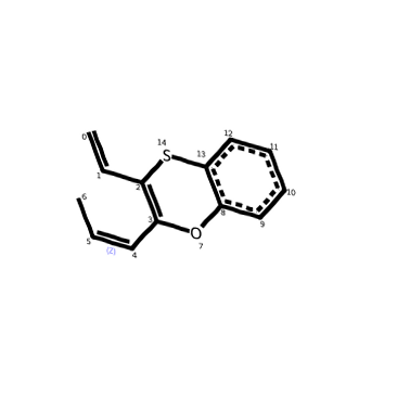 C=CC1=C(/C=C\C)Oc2ccccc2S1